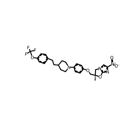 C[C@@]1(COc2ccc(N3CCC(CCc4ccc(OC(F)(F)F)cc4)CC3)cc2)Cn2cc([N+](=O)[O-])nc2O1